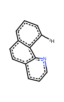 [2H]c1cccc2ccc3cccnc3c12